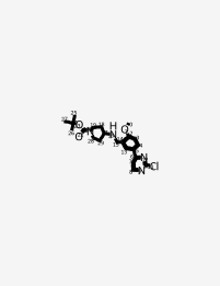 COc1ccc(-c2ccnc(Cl)n2)cc1CNC1CCN(C(=O)OC(C)(C)C)CC1